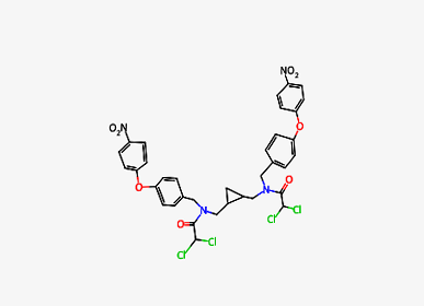 O=C(C(Cl)Cl)N(Cc1ccc(Oc2ccc([N+](=O)[O-])cc2)cc1)CC1CC1CN(Cc1ccc(Oc2ccc([N+](=O)[O-])cc2)cc1)C(=O)C(Cl)Cl